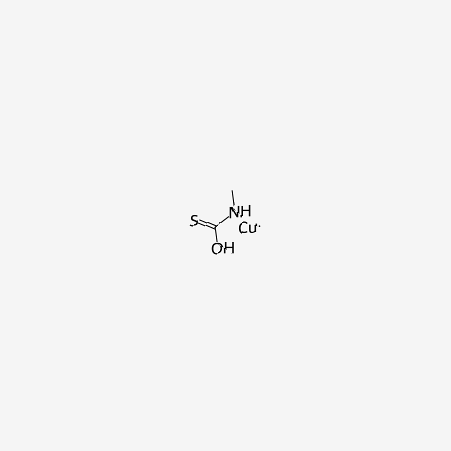 CNC(O)=S.[Cu]